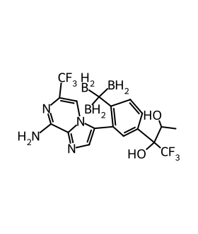 BC(B)(B)c1ccc(C(O)(C(C)O)C(F)(F)F)cc1-c1cnc2c(N)nc(C(F)(F)F)cn12